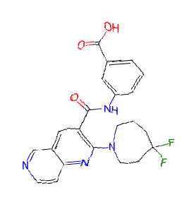 O=C(O)c1cccc(NC(=O)c2cc3cnccc3nc2N2CCCC(F)(F)CC2)c1